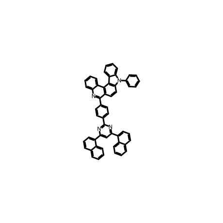 c1ccc(-n2c3ccccc3c3c4c(ccc32)c(-c2ccc(-c3nc(-c5cccc6ccccc56)cc(-c5cccc6ccccc56)n3)cc2)nc2ccccc24)cc1